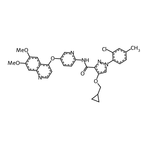 COc1cc2nccc(Oc3ccc(NC(=O)c4nn(-c5ccc(C)cc5Cl)cc4OCC4CC4)nc3)c2cc1OC